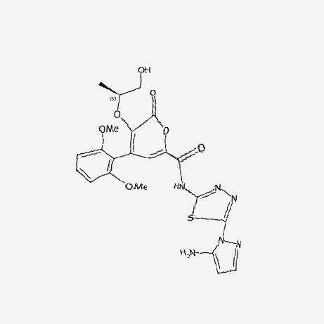 COc1cccc(OC)c1-c1cc(C(=O)Nc2nnc(-n3nccc3N)s2)oc(=O)c1O[C@@H](C)CO